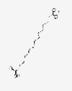 CC(O)CCCCCCCCC=CCCCCC(=O)O